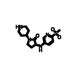 CS(=O)(=O)c1ccc(NC2CCN(C3CCNCC3)C2=O)cn1